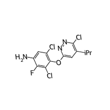 CC(C)c1cc(Oc2c(Cl)cc(N)c(F)c2Cl)nnc1Cl